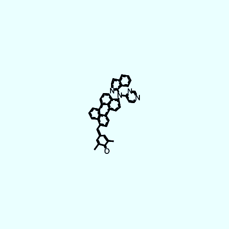 CC1=CC(=Cc2ccc3c4ccc(N(c5ccncn5)c5nccc6ccccc56)c5cccc(c6cccc2c63)c54)C=C(C)C1=O